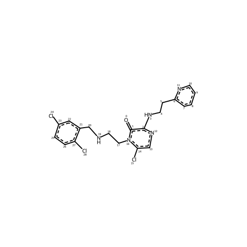 O=c1c(NCCc2ccccn2)ncc(Cl)n1CCNCc1cc(Cl)ccc1Cl